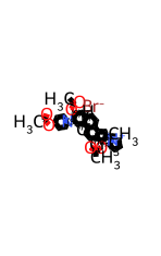 CC(=O)OC1CCN([C@H]2C[C@]3(C)C4CC[C@@]5(C)C(C[C@H]([N+]6(C)CCCC6)[C@@H]5OC(C)=O)C4CC[C@H]3C[C@@H]2OC(C)=O)CC1.[Br-]